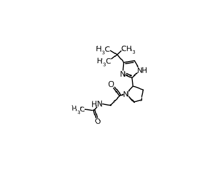 CC(=O)NCC(=O)N1CCCC1c1nc(C(C)(C)C)c[nH]1